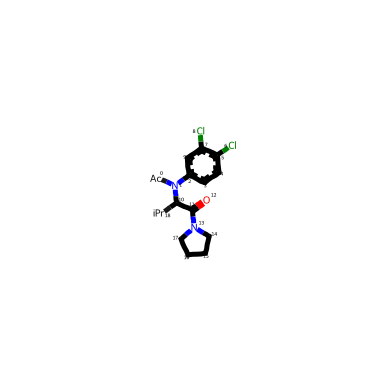 CC(=O)N(c1ccc(Cl)c(Cl)c1)C(C(=O)N1CCCC1)C(C)C